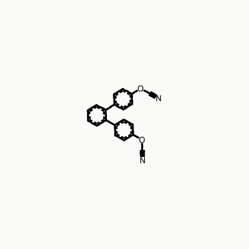 N#COc1ccc(-c2ccccc2-c2ccc(OC#N)cc2)cc1